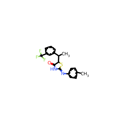 Cc1ccc(/N=C2/NC(=O)C(C(C)c3cccc(C(F)(F)F)c3)S2)cc1